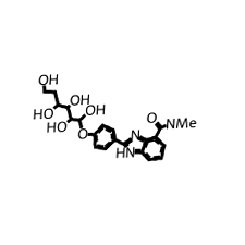 CNC(=O)c1cccc2[nH]c(-c3ccc(OC(O)C(O)C(O)C(O)CCO)cc3)nc12